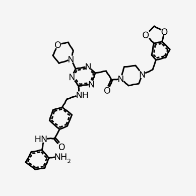 Nc1ccccc1NC(=O)c1ccc(CNc2nc(CC(=O)N3CCN(Cc4ccc5c(c4)OCO5)CC3)nc(N3CCOCC3)n2)cc1